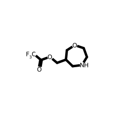 O=C(OCC1CNCCOC1)C(F)(F)F